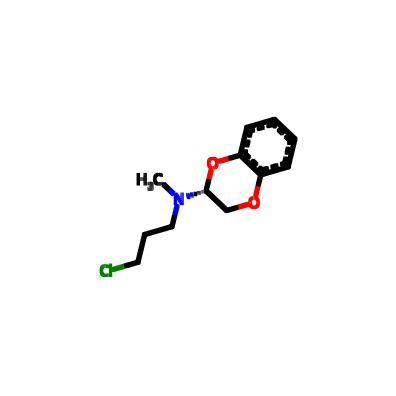 CN(CCCCl)[C@H]1COc2ccccc2O1